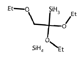 CCOCC([SiH3])(OCC)OCC.[SiH4]